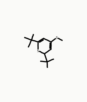 CSC1=CC(C(C)(C)C)SC(C(C)(C)C)=C1